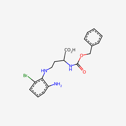 Nc1cccc(Br)c1NCCC(NC(=O)OCc1ccccc1)C(=O)O